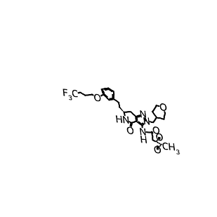 CS(=O)(=O)CC(=O)Nc1c2c(nn1CC1CCOCC1)C[C@H](CCc1cccc(OCCCC(F)(F)F)c1)NC2=O